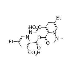 CCC1=CN(N(C)C)C(C(=O)OC(=O)C2=C(C(=O)O)CC(CC)=CN2N(C)C)=C(C(=O)O)C1